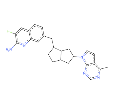 Cc1ncnc2c1ccn2C1CC2CCC(Cc3ccc4cc(F)c(N)nc4c3)C2C1